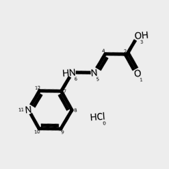 Cl.O=C(O)C=NNc1cccnc1